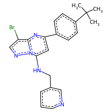 CC(C)(C)c1ccc(-c2cc(NCc3cccnc3)n3ncc(Br)c3n2)cc1